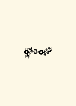 CC(Nc1cccc(C(F)(F)F)c1)C(=O)N1CCN(c2ccc(S(=O)(=O)Nc3ccncn3)cc2)CC1